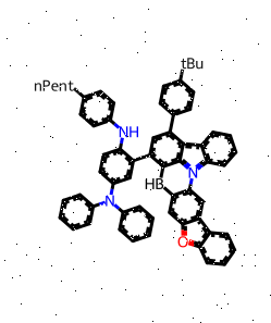 CCCCCc1ccc(Nc2ccc(N(c3ccccc3)c3ccccc3)cc2-c2cc(-c3ccc(C(C)(C)C)cc3)c3c4ccccc4n4c3c2Bc2cc3oc5ccccc5c3cc2-4)cc1